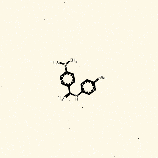 C=C(Nc1ccc(CCCC)cc1)c1ccc(N(C)C)cc1